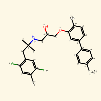 CCc1cc(F)c(CC(C)(C)NC[C@@H](O)COc2cc(-c3ccc(C(=O)O)cc3)ccc2C#N)cc1F